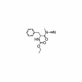 CCOC(=O)NC(Cc1ccccc1)C(=O)N(C)C#N